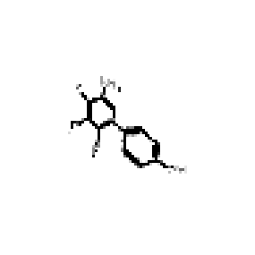 Nc1cc(-c2ccc(O)cc2)c(F)c(F)c1F